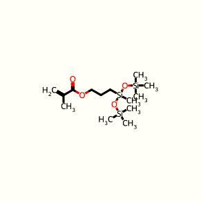 C=C(C)C(=O)OCCC[Si](C)(O[Si](C)(C)C)O[Si](C)(C)C